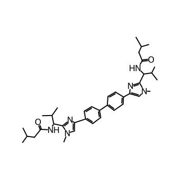 CC(C)CC(=O)NC(c1nc(-c2ccc(-c3ccc(-c4cn(C)c([C@@H](NC(=O)CC(C)C)C(C)C)n4)cc3)cc2)cn1C)C(C)C